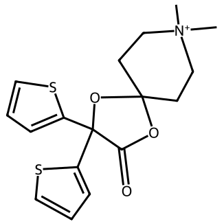 C[N+]1(C)CCC2(CC1)OC(=O)C(c1cccs1)(c1cccs1)O2